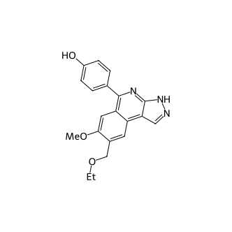 CCOCc1cc2c(cc1OC)c(-c1ccc(O)cc1)nc1[nH]ncc12